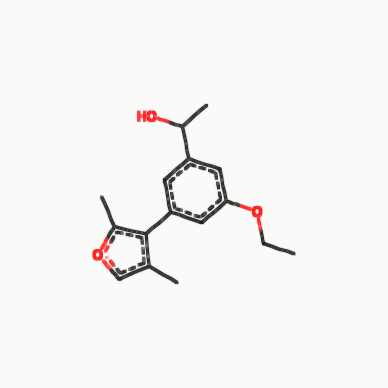 CCOc1cc(-c2c(C)coc2C)cc(C(C)O)c1